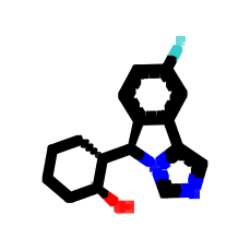 O[C@H]1CCCC[C@@H]1[C@H]1c2ccc(F)cc2-c2cncn21